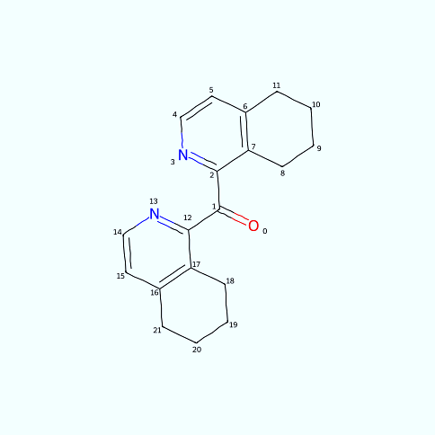 O=C(c1nccc2c1CCCC2)c1nccc2c1CCCC2